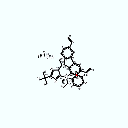 C=Cc1ccc2c(c1)-c1cc(C=C)c[c]([Zr](=[CH2])([CH2]C)([C]3=CC(C(C)(C)C)=CC3CC)[c]3ccccc3)c1C2.Cl.Cl